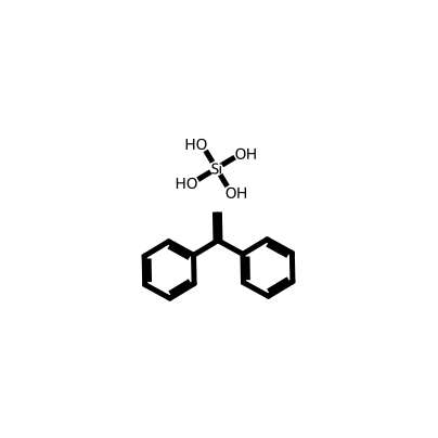 C=C(c1ccccc1)c1ccccc1.O[Si](O)(O)O